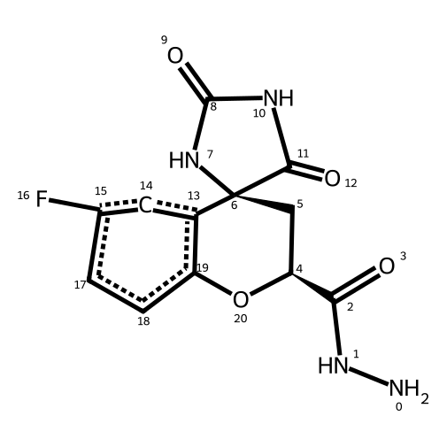 NNC(=O)[C@@H]1C[C@]2(NC(=O)NC2=O)c2cc(F)ccc2O1